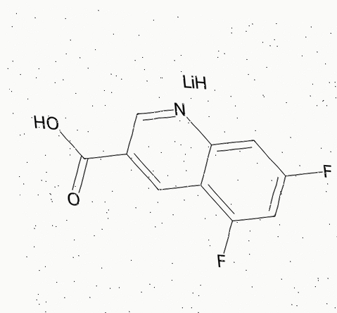 O=C(O)c1cnc2cc(F)cc(F)c2c1.[LiH]